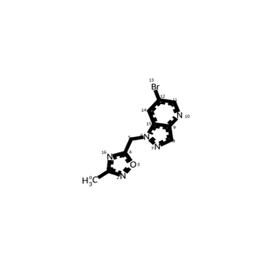 Cc1noc(Cn2ncc3ncc(Br)cc32)n1